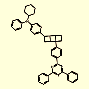 c1ccc(-c2nc(-c3ccccc3)nc(-c3ccc(C45C6C7C4C4C5C6C74c4ccc(N(c5ccccc5)C5CCCCC5)cc4)cc3)n2)cc1